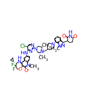 C[C@@H]1CN(c2ncc(Cl)c(Nc3ccc4c(c3)c3c(c(=O)n4C)OCC(F)(F)[C@H](C4CC4)N3)n2)C[C@H](C)N1CC1CCN(c2cccc3c(C4CCC(=O)NC4=O)nn(C)c23)CC1